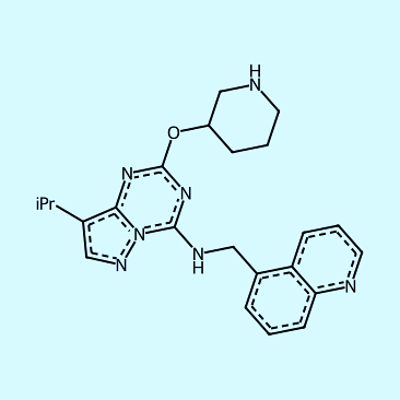 CC(C)c1cnn2c(NCc3cccc4ncccc34)nc(OC3CCCNC3)nc12